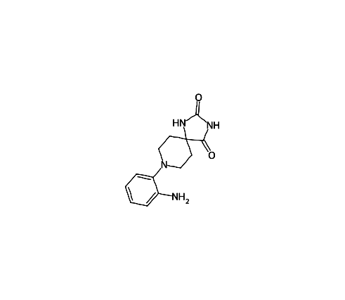 Nc1ccccc1N1CCC2(CC1)NC(=O)NC2=O